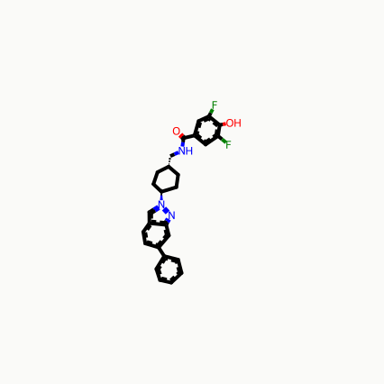 O=C(NC[C@H]1CC[C@H](n2cc3ccc(-c4ccccc4)cc3n2)CC1)c1cc(F)c(O)c(F)c1